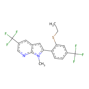 CCSc1cc(C(F)(F)F)ccc1-c1cc2cc(C(F)(F)F)cnc2n1C